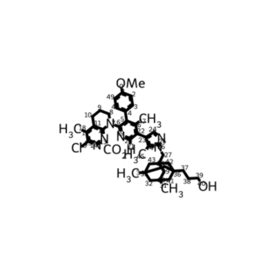 COc1ccc(-c2c(N3CCCc4c3nnc(Cl)c4C)nc(C(=O)O)c(-c3cnn(CC45CC6(C)CC(C)(CC(CCCO)(C6)C4)C5)c3C)c2C)cc1